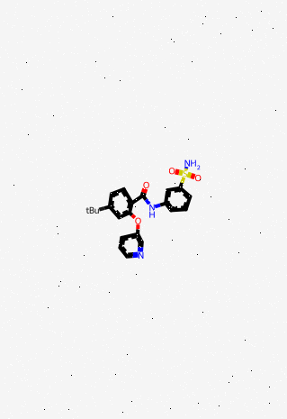 CC(C)(C)c1ccc(C(=O)Nc2cccc(S(N)(=O)=O)c2)c(Oc2cccnc2)c1